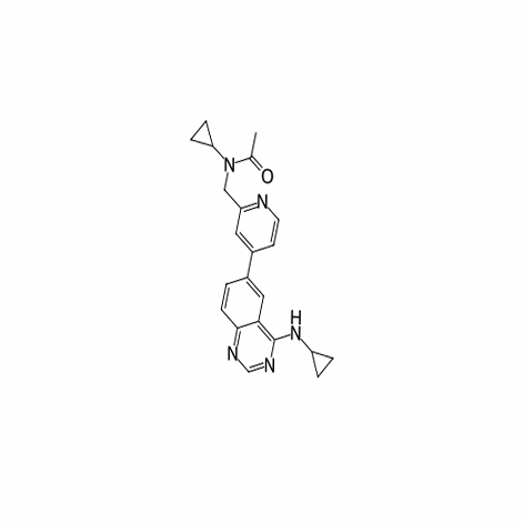 CC(=O)N(Cc1cc(-c2ccc3ncnc(NC4CC4)c3c2)ccn1)C1CC1